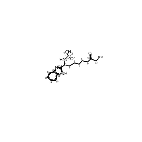 C[S+]([O-])N[C@@H](CCCCCC(=O)CF)c1nc2ccccc2[nH]1